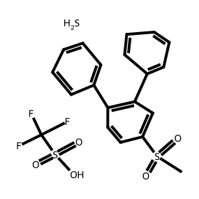 CS(=O)(=O)c1ccc(-c2ccccc2)c(-c2ccccc2)c1.O=S(=O)(O)C(F)(F)F.S